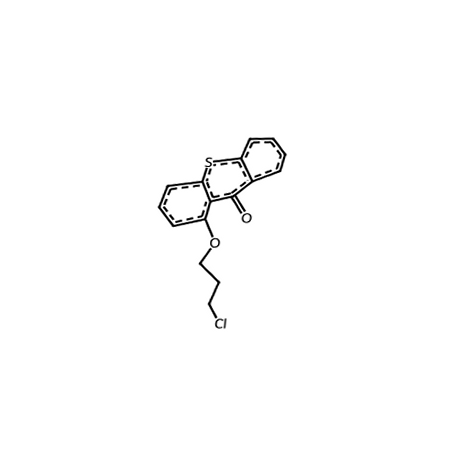 O=c1c2ccccc2sc2cccc(OCCCCl)c12